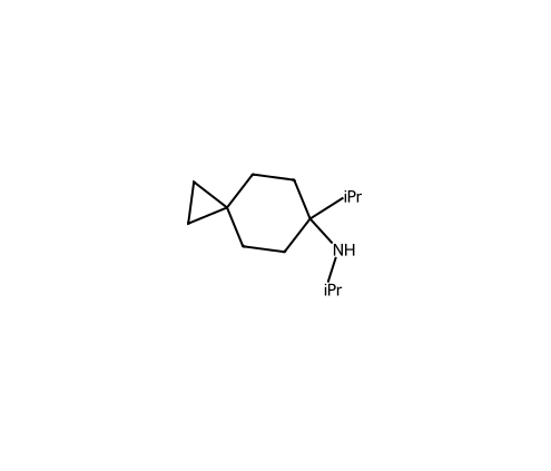 CC(C)NC1(C(C)C)CCC2(CC2)CC1